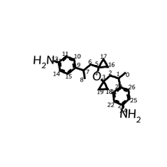 CC(CC1(OC2(CC(C)c3ccc(N)cc3)CC2)CC1)c1ccc(N)cc1